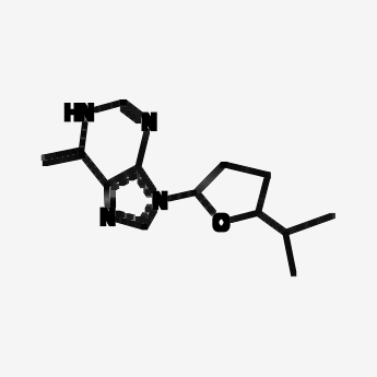 C=C1NC=Nc2c1ncn2C1CCC(C(C)C)O1